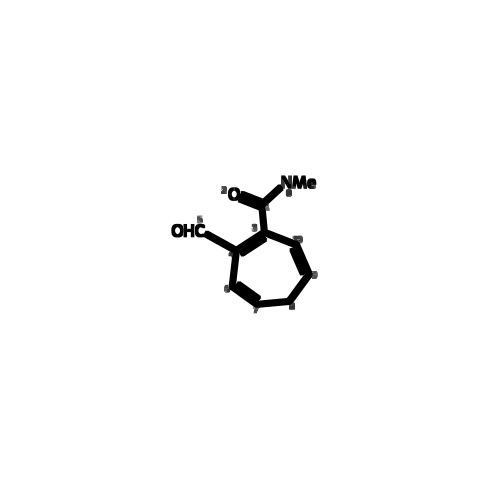 CNC(=O)C1=C(C=O)C=CCC=C1